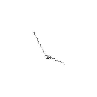 CCCCCCCCCCCCCCCCC[n+]1ccn(CCCCCCCCCC)c1